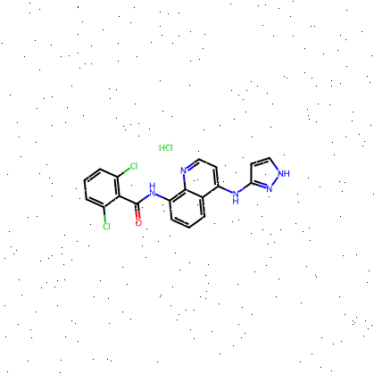 Cl.O=C(Nc1cccc2c(Nc3cc[nH]n3)ccnc12)c1c(Cl)cccc1Cl